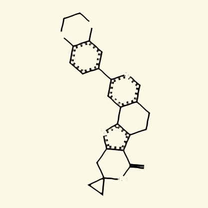 O=C1NC2(CC2)Cc2[nH]c3c(c21)CCc1cnc(-c2ccc4c(c2)OCCO4)cc1-3